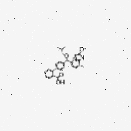 COc1cn2c(C(OCC(C)C)c3ccc(-c4ccccc4C(=O)O)cc3)ccc(C)c2n1